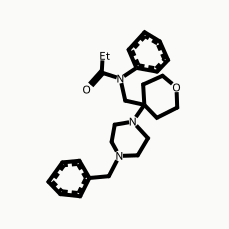 CCC(=O)N(CC1(N2CCN(Cc3ccccc3)CC2)CCOCC1)c1ccccc1